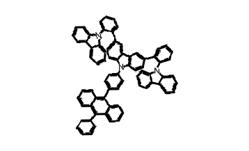 c1ccc(-c2c3ccccc3c(-c3ccc(-n4c5ccc(-c6ccccc6-n6c7ccccc7c7ccccc76)cc5c5cc(-c6ccccc6-n6c7ccccc7c7ccccc76)ccc54)cc3)c3ccccc23)cc1